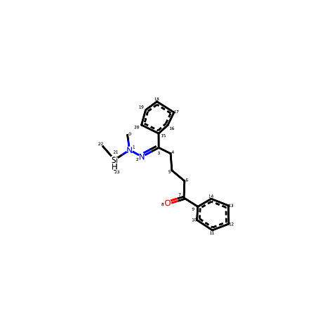 CN(N=C(CCCC(=O)c1ccccc1)c1ccccc1)[SiH](C)C